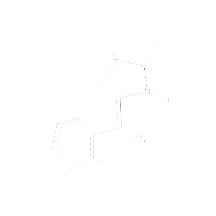 CCN1C(=O)CSC1=C(C#N)c1ccccc1